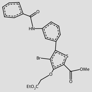 CCOC(=O)COc1c(C(=O)OC)sc(-c2cccc(NC(=O)c3ccccc3)c2)c1Br